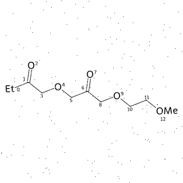 CCC(=O)COCC(=O)COCCOC